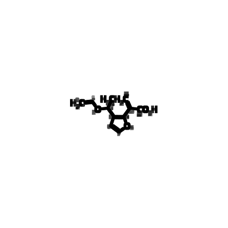 C=COC(C)c1ccoc1C(=C)C(=O)O